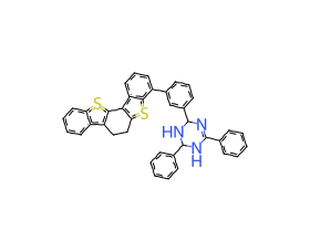 c1ccc(C2=NC(c3cccc(-c4cccc5c6c(sc45)CCc4c-6sc5ccccc45)c3)NC(c3ccccc3)N2)cc1